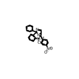 CN(C)c1ccccc1C1(c2ccccc2)N=CC2C(c3ccc([N+](=O)[O-])cc3)N21